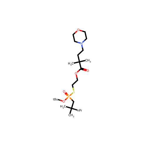 CCCC(C)(C)CP(=O)(OC(C)(C)C)SCCOC(=O)C(C)(C)CCN1CCOCC1